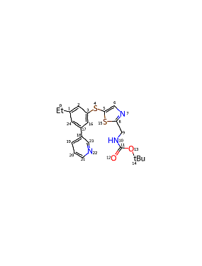 CCc1cc(Sc2cnc(CNC(=O)OC(C)(C)C)s2)cc(-c2cccnc2)c1